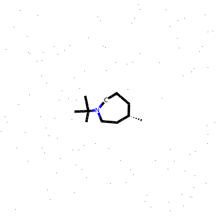 C[C@H]1CCCN(C(C)(C)C)CC1